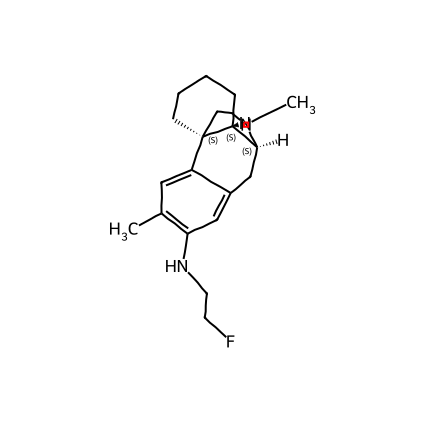 Cc1cc2c(cc1NCCF)C[C@H]1[C@H]3CCCC[C@@]23CCN1C